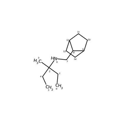 CCC(C)(CC)NCC1C2CCC1CC2